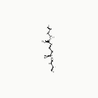 C=CCOC(=O)CCCC(=O)OCC=C